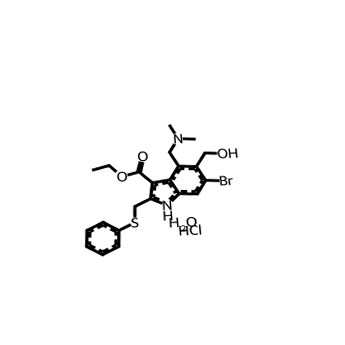 CCOC(=O)c1c(CSc2ccccc2)[nH]c2cc(Br)c(CO)c(CN(C)C)c12.Cl.O